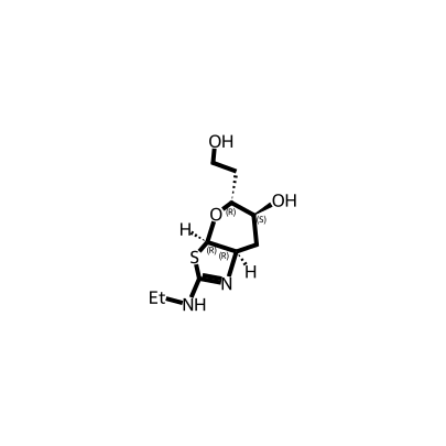 CCNC1=N[C@@H]2C[C@H](O)[C@@H](CCO)O[C@@H]2S1